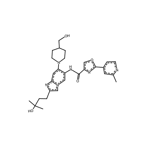 Cc1cc(-c2nc(C(=O)Nc3cn4cc(CCC(C)(C)O)nc4cc3N3CCC(CO)CC3)co2)ccn1